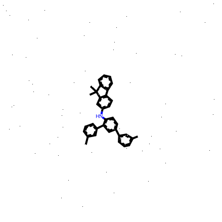 Cc1cccc(-c2ccc(Nc3ccc4c(c3)C(C)(C)c3ccccc3-4)c(-c3cccc(C)c3)c2)c1